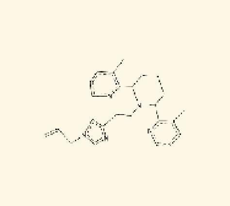 C=CCn1cnc(CCN2C(c3ncccc3C)CCCC2c2ncccc2C)c1